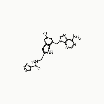 Nc1ncnc2c1ncn2Cc1cc(Cl)cc2cc(CNC(=O)c3cncs3)[nH]c12